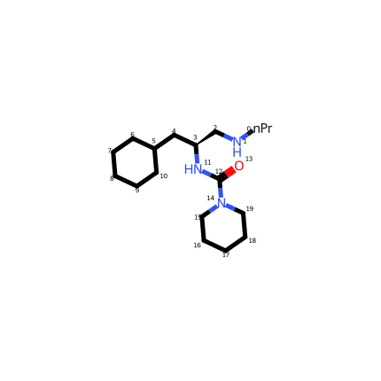 CCCNC[C@H](CC1CCCCC1)NC(=O)N1CCCCC1